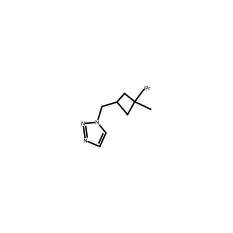 CC(C)C1(C)CC(Cn2ccnn2)C1